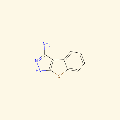 Nc1n[nH]c2sc3ccccc3c12